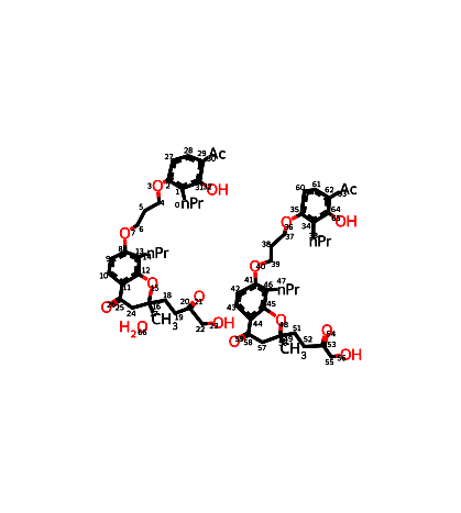 CCCc1c(OCCCOc2ccc3c(c2CCC)OC(C)(CCC(=O)CO)CC3=O)ccc(C(C)=O)c1O.CCCc1c(OCCCOc2ccc3c(c2CCC)OC(C)(CCC(=O)CO)CC3=O)ccc(C(C)=O)c1O.O